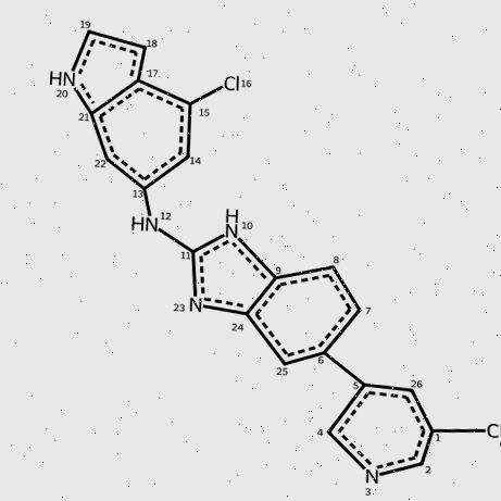 N#Cc1cncc(-c2ccc3[nH]c(Nc4cc(Cl)c5cc[nH]c5c4)nc3c2)c1